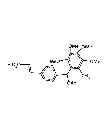 CCOC(=O)C=Cc1ccc(C(OC(C)=O)c2c(C)c(OC)c(OC)c(OC)c2OC)cc1